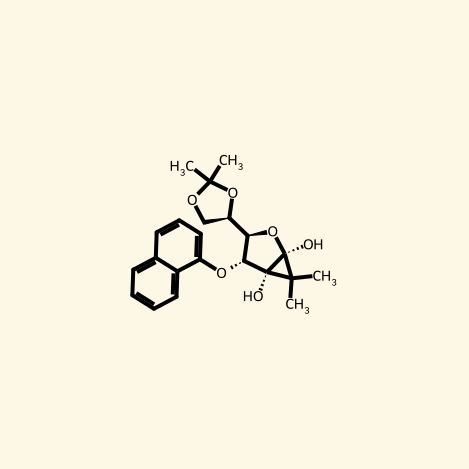 CC1(C)OC[C@H]([C@H]2O[C@@]3(O)C(C)(C)[C@@]3(O)[C@@H]2Oc2cccc3ccccc23)O1